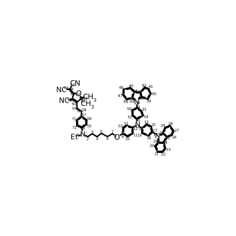 CCN(CCCCCCOc1ccc(N(c2ccc(-n3c4ccccc4c4ccccc43)cc2)c2ccc(-n3c4ccccc4c4ccccc43)cc2)cc1)c1ccc(/C=C/C2=C(C#N)C(=C(C#N)C#N)OC2(C)C)cc1